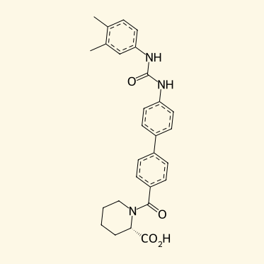 Cc1ccc(NC(=O)Nc2ccc(-c3ccc(C(=O)N4CCCC[C@H]4C(=O)O)cc3)cc2)cc1C